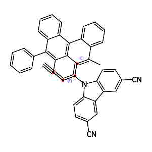 C#C/C=C(\C=C(/C)c1ccccc1-c1c2ccccc2c(-c2ccccc2)c2ccccc12)n1c2ccc(C#N)cc2c2cc(C#N)ccc21